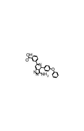 NC1=C2C(=CC(c3cccc(C(=O)O)c3)=NC2c2ccc(Oc3ccccc3)cc2)N=N1